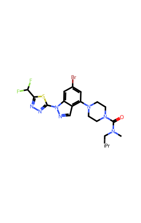 CC(C)CN(C)C(=O)N1CCN(c2cc(Br)cc3c2cnn3-c2nnc(C(F)F)s2)CC1